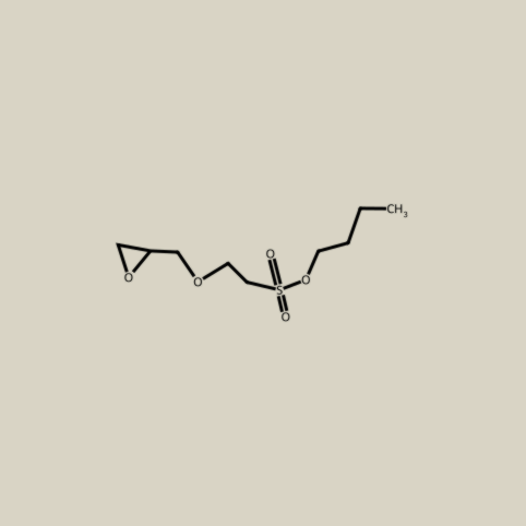 CCCCOS(=O)(=O)CCOCC1CO1